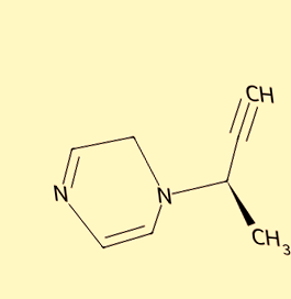 C#C[C@@H](C)N1C=CN=CC1